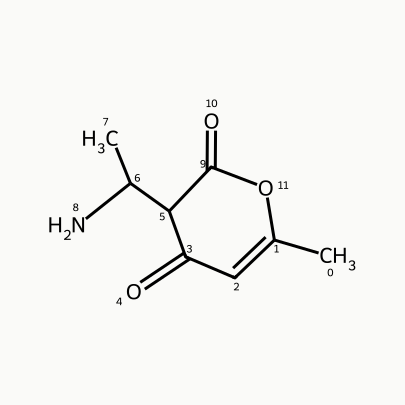 CC1=CC(=O)C(C(C)N)C(=O)O1